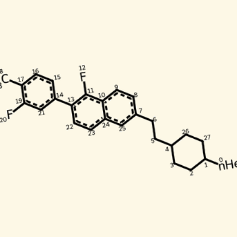 CCCCCCC1CCC(CCc2ccc3c(F)c(-c4ccc(C(F)(F)F)c(F)c4)ccc3c2)CC1